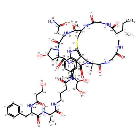 CC[C@H](C)[C@@H]1CNC(=O)CNC(=O)[C@H]2Cc3c([nH]c4ccc(NC(=O)CCCNC(=O)[C@@H](C)NC(=O)[C@@H](Cc5ccccc5)NC(=O)CCO)cc34)SC[C@H](NC(=O)CNC1=O)C(=O)N[C@@H](CC(N)=O)C(=O)N1C[C@H](O)C[C@H]1C(=O)N[C@@H](C(C)C(O)CO)C(=O)N2